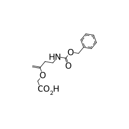 C=C(CCNC(=O)OCc1ccccc1)OCC(=O)O